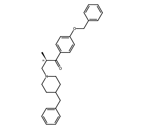 C[C@H](CN1CCC(Cc2ccccc2)CC1)C(=O)c1ccc(OCc2ccccc2)cc1